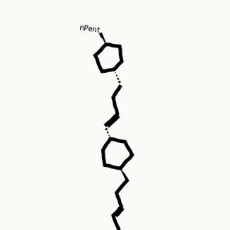 C/C=C/CC[C@H]1CC[C@H](/C=C/CC[C@H]2CC[C@H](CCCCC)CC2)CC1